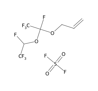 C=CCOC(F)(OC(F)C(F)(F)F)C(F)(F)F.O=S(=O)(F)F